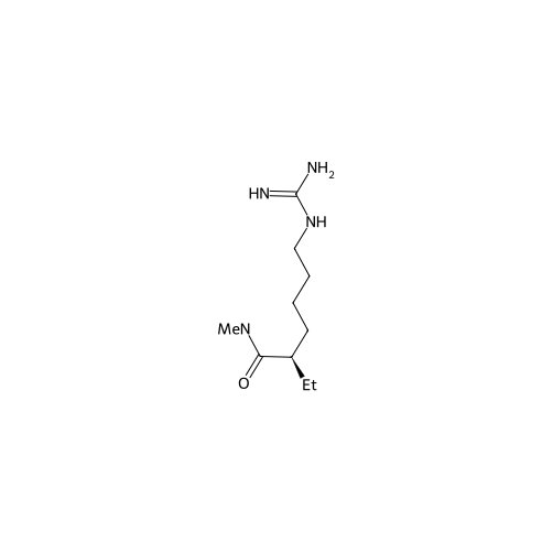 CC[C@H](CCCCNC(=N)N)C(=O)NC